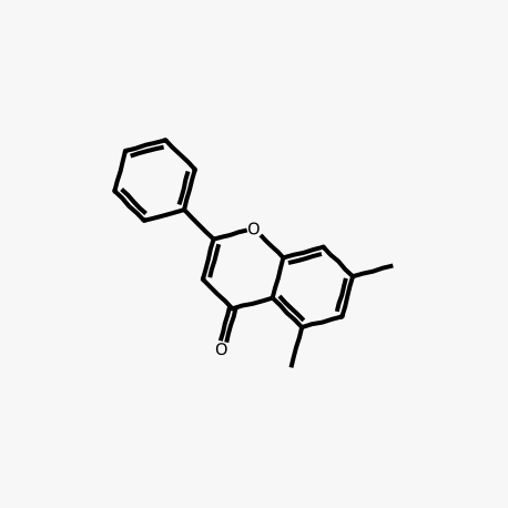 Cc1cc(C)c2c(=O)cc(-c3ccccc3)oc2c1